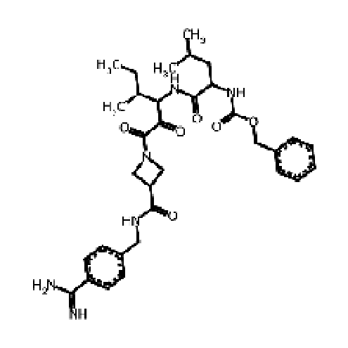 CC[C@H](C)C(NC(=O)C(CC(C)C)NC(=O)OCc1ccccc1)C(=O)C(=O)N1CC(C(=O)NCc2ccc(C(=N)N)cc2)C1